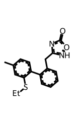 CCSc1cc(C)ccc1-c1ccccc1Cc1nc(=O)o[nH]1